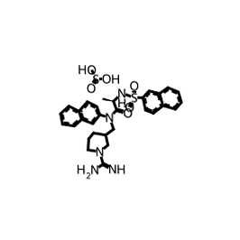 C[C@@H](NS(=O)(=O)c1ccc2ccccc2c1)C(=O)N(CC1CCCN(C(=N)N)C1)c1ccc2ccccc2c1.O=S(O)O